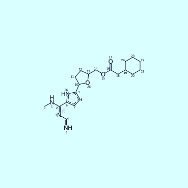 CN/C(=N/C=N)c1ccc(C2CCC(COC(=O)CC3CCCCC3)O2)[nH]1